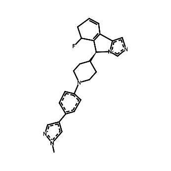 Cn1cc(-c2ccc(N3CCC([C@H]4C5=C(C=CCC5F)c5cncn54)CC3)cc2)cn1